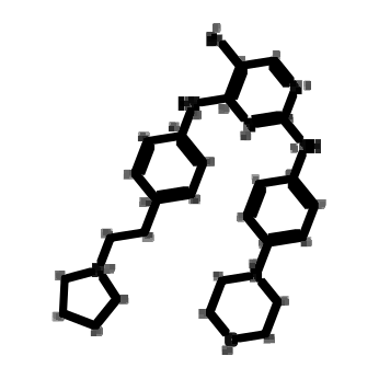 Brc1cnc(Nc2ccc(N3CCOCC3)cc2)nc1Nc1ccc(CCN2CCCC2)cc1